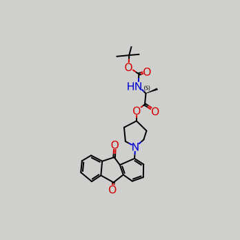 C[C@H](NC(=O)OC(C)(C)C)C(=O)OC1CCN(c2cccc3c2C(=O)c2ccccc2C3=O)CC1